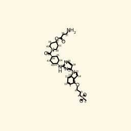 CS(=O)(=O)CCCOc1cccc2c1ccn2-c1ccnc(N[C@H]2CC[C@H](C(=O)N3CCC(OC(=O)CCN)CC3)CC2)n1